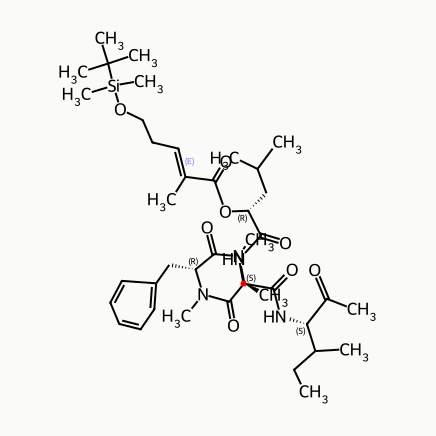 CCC(C)[C@H](NC(=O)CN(C)C(=O)[C@@H](Cc1ccccc1)N(C)C(=O)[C@H](C)NC(=O)[C@@H](CC(C)C)OC(=O)/C(C)=C/CCO[Si](C)(C)C(C)(C)C)C(C)=O